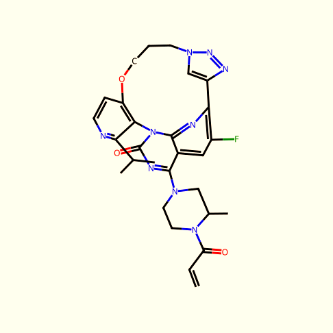 C=CC(=O)N1CCN(c2nc(=O)n3c4nc(c(F)cc24)-c2cn(nn2)CCCOc2ccnc(C(C)C)c2-3)CC1C